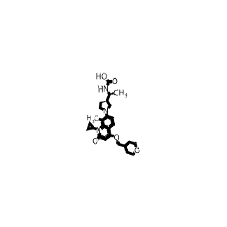 Cc1c(N2CC[C@@H]([C@H](C)NC(=O)O)C2)ccc2c(OCC3CCOCC3)cc(=O)n(C3CC3)c12